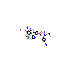 CCN[C@H](CC(=O)N1CC=C(c2nc(N)c3cc(OC)c(OC)c(F)c3n2)[C@@H](c2ccccn2)C1)c1ccc(C#N)cc1